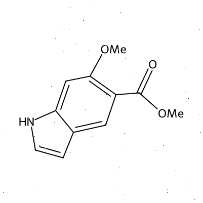 COC(=O)c1cc2cc[nH]c2cc1OC